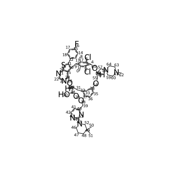 Cc1c(Cl)c2c(Cl)c(C)c1-c1c(-c3ccc(F)cc3)sc3ncnc(c13)O[C@@H](C(=O)O)Cc1cc(ccc1OCc1ccnc(N3CCCC(C)(C)C3)n1)OC[C@@H](CN1CCN(C)CC1)O2